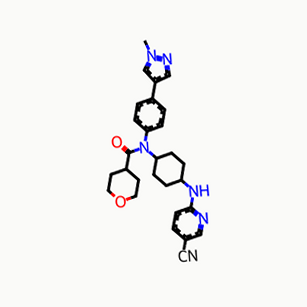 Cn1cc(-c2ccc(N(C(=O)C3CCOCC3)C3CCC(Nc4ccc(C#N)cn4)CC3)cc2)cn1